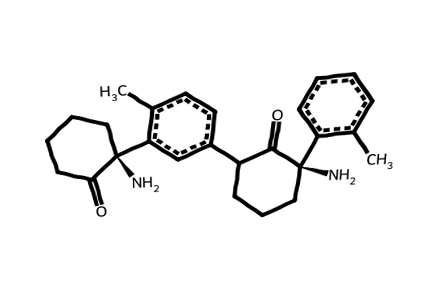 Cc1ccc(C2CCC[C@@](N)(c3ccccc3C)C2=O)cc1[C@@]1(N)CCCCC1=O